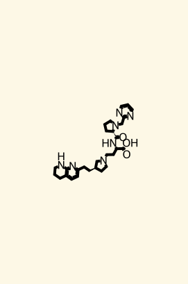 O=C(O)C(CCN1CC[C@@H](CCc2ccc3c(n2)NCCC3)C1)NC(=O)[C@@H]1CCCN1Cc1ncccn1